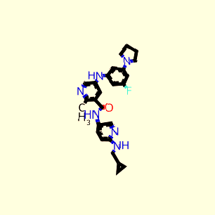 Cc1ncc(Nc2cc(F)cc(N3CCCC3)c2)cc1C(=O)Nc1ccc(NCC2CC2)nc1